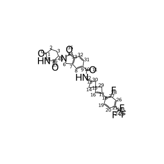 O=C1CCC(N2Cc3cc(C(=O)NC4CC5(C=C(c6ccc(C(F)(F)F)cc6F)C5)C4)ccc3C2=O)C(=O)N1